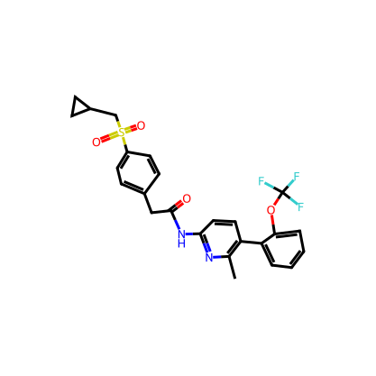 Cc1nc(NC(=O)Cc2ccc(S(=O)(=O)CC3CC3)cc2)ccc1-c1ccccc1OC(F)(F)F